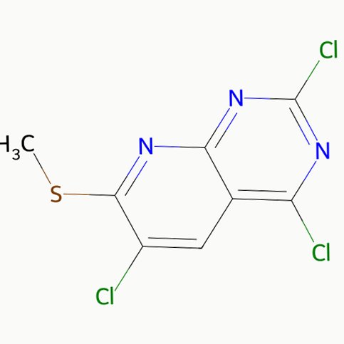 CSc1nc2nc(Cl)nc(Cl)c2cc1Cl